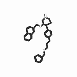 c1ccc(COCCCc2ccc(C3CCNCC3OCc3ccc4ccccc4c3)cc2)cc1